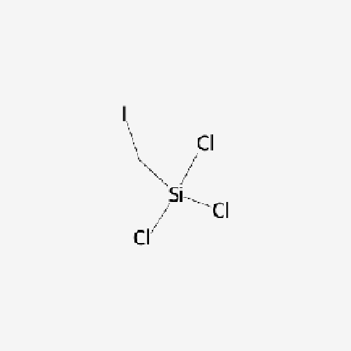 Cl[Si](Cl)(Cl)CI